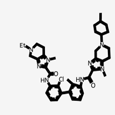 CCN1CCc2c(nc(C(=O)Nc3cccc(-c4cccc(NC(=O)c5nc6c(n5C)CCN(C5CCC(C)CC5)C6)c4C)c3Cl)n2C)C1